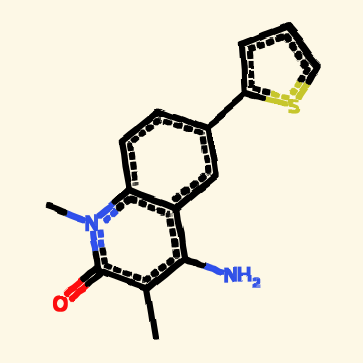 Cc1c(N)c2cc(-c3cccs3)ccc2n(C)c1=O